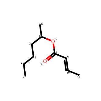 [CH2]C(CCCC)OC(=O)C=CC